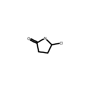 O=C1CCC(Cl)[N]1